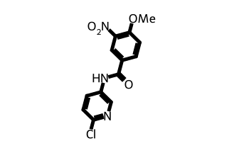 COc1ccc(C(=O)Nc2ccc(Cl)nc2)cc1[N+](=O)[O-]